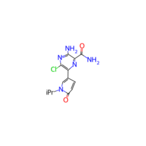 CC(C)n1cc(-c2nc(C(N)=O)c(N)nc2Cl)ccc1=O